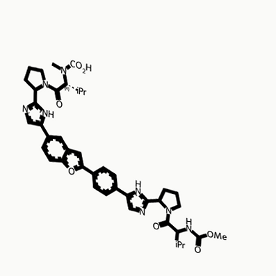 COC(=O)NC(C(=O)N1CCCC1c1ncc(-c2ccc(-c3cc4cc(-c5cnc(C6CCCN6C(=O)[C@@H](C(C)C)N(C)C(=O)O)[nH]5)ccc4o3)cc2)[nH]1)C(C)C